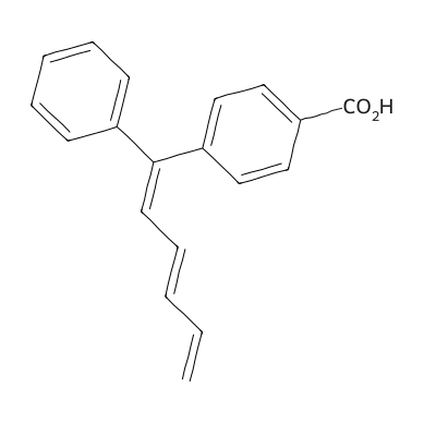 C=CC=CC=C(c1ccccc1)c1ccc(C(=O)O)cc1